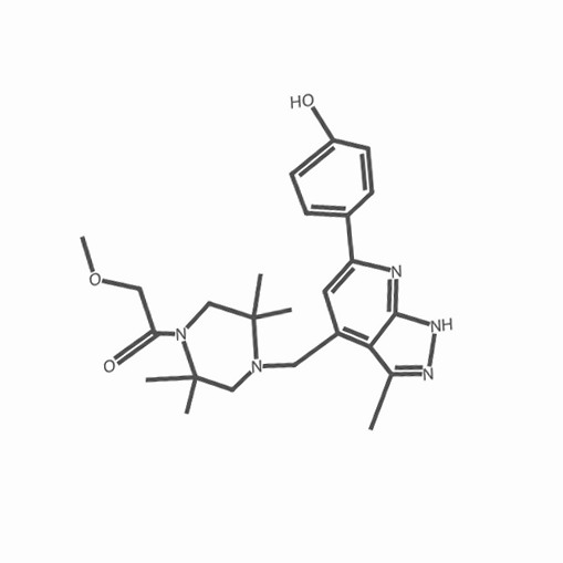 COCC(=O)N1CC(C)(C)N(Cc2cc(-c3ccc(O)cc3)nc3[nH]nc(C)c23)CC1(C)C